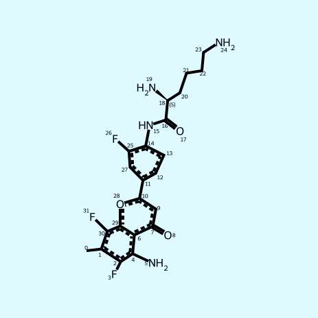 Cc1c(F)c(N)c2c(=O)cc(-c3ccc(NC(=O)[C@@H](N)CCCCN)c(F)c3)oc2c1F